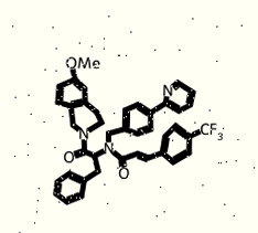 COc1ccc2c(c1)CCN(C(=O)C(Cc1ccccc1)N(Cc1ccc(-c3ccccn3)cc1)C(=O)C=Cc1ccc(C(F)(F)F)cc1)C2